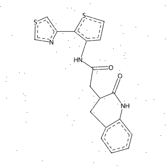 O=C(CC1Cc2ccccc2NC1=O)Nc1ccsc1-c1cscn1